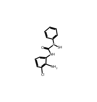 Nc1c(Cl)cccc1NC(=O)N(S)c1cc[c]cc1